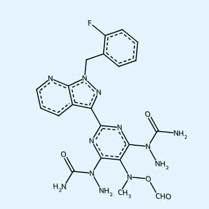 CN(OC=O)c1c(N(N)C(N)=O)nc(-c2nn(Cc3ccccc3F)c3ncccc23)nc1N(N)C(N)=O